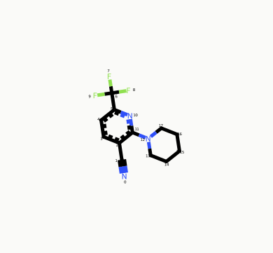 N#Cc1ccc(C(F)(F)F)nc1N1CC[C]CC1